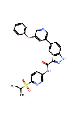 CC(C)S(=O)(=O)c1ccc(NC(=O)c2n[nH]c3ccc(-c4cncc(Oc5ccccc5)c4)cc23)cn1